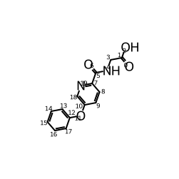 O=C(O)CNC(=O)c1ccc(Oc2ccccc2)cn1